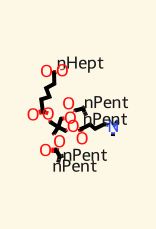 CCCCCCCOC(=O)CCCCC(=O)OCC(COC(=O)CCCN(C)C)(COC(=O)C(CCCCC)CCCCC)COC(=O)C(CCCCC)CCCCC